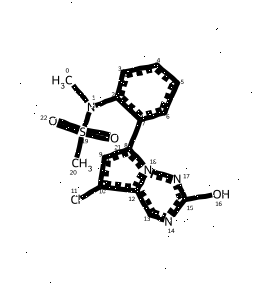 CN(c1ccccc1-c1cc(Cl)c2cnc(O)nn12)S(C)(=O)=O